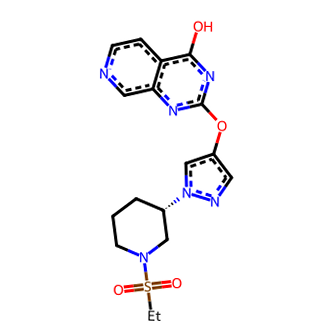 CCS(=O)(=O)N1CCC[C@H](n2cc(Oc3nc(O)c4ccncc4n3)cn2)C1